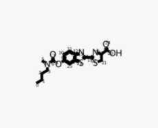 CCCCN(C)C(=O)Oc1ccc2nc(C3=NC(C(=O)O)CS3)sc2c1